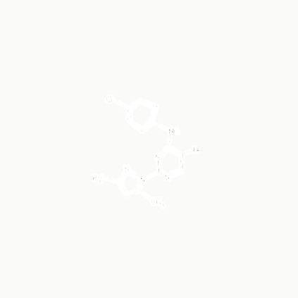 Cc1cc(C)n(-c2ncc(Br)c(Nc3ccc(Cl)cc3)n2)n1